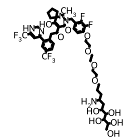 CN1N(Cc2ccc(OCCOCCOCCOCCCC(N)CC(O)C(O)C(O)C(O)CO)c(F)c2F)C(=O)C(C(=O)Cc2ccc(C(F)(F)F)cc2C2=NCNC(C(F)(F)F)=C2)=C(O)C12CCCC2